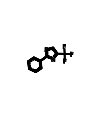 FC(F)(F)c1csc(-c2ccccc2)n1